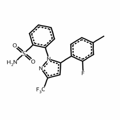 Cc1ccc(-c2cc(C(F)(F)F)nn2-c2ccccc2S(N)(=O)=O)c(F)c1